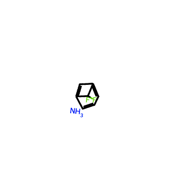 FC1(F)c2cccc1c2.N